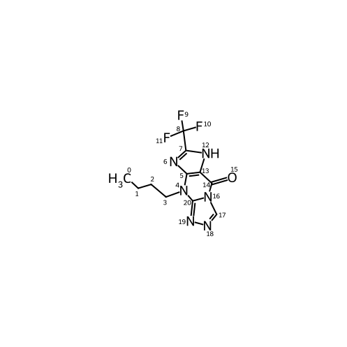 CCCCn1c2nc(C(F)(F)F)[nH]c2c(=O)n2cnnc12